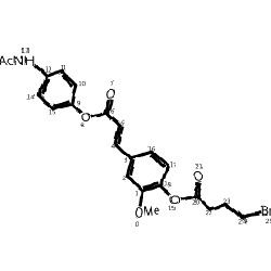 COc1cc(C=CC(=O)Oc2ccc(NC(C)=O)cc2)ccc1OC(=O)CCCBr